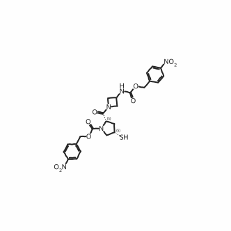 O=C(NC1CN(C(=O)[C@@H]2C[C@H](S)CN2C(=O)OCc2ccc([N+](=O)[O-])cc2)C1)OCc1ccc([N+](=O)[O-])cc1